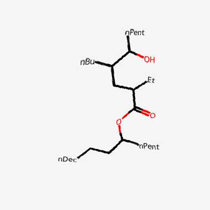 CCCCCCCCCCCCC(CCCCC)OC(=O)C(CC)CC(CCCC)C(O)CCCCC